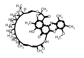 COc1c(C)cc(C)c2nc3c4c5c6c(C)c(O)c4c(=O)c(c-3oc12)NC(=O)/C(C)=C\C=C\[C@H](C)[C@H](O)[C@@H](C)[C@@H](O)[C@@H](C)[C@H](O)[C@H](C)[C@@H](OC)/C=C/O[C@@](C)(O6)C5=O